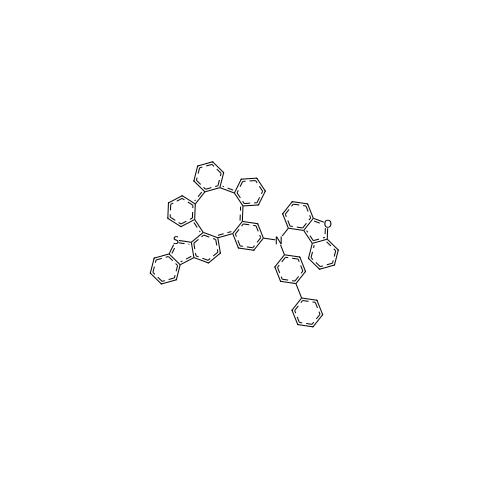 c1ccc(-c2ccc(N(c3ccc4c(c3)c3ccccc3c3ccccc3c3ccccc3c3c4ccc4c5ccccc5sc43)c3cccc4oc5ccccc5c34)cc2)cc1